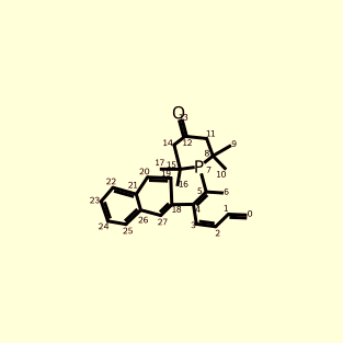 C=C/C=C\C(=C(/C)P1C(C)(C)CC(=O)CC1(C)C)c1ccc2ccccc2c1